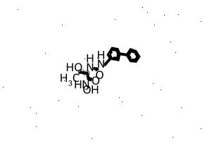 C[C@@H](O)[C@H](NC(=O)NCc1cccc(-c2ccccc2)c1)C(=O)NO